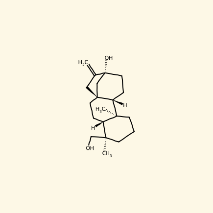 C=C1C[C@]23CC[C@H]4[C@](C)(CO)CCC[C@]4(C)[C@H]2CC[C@@]1(O)C3